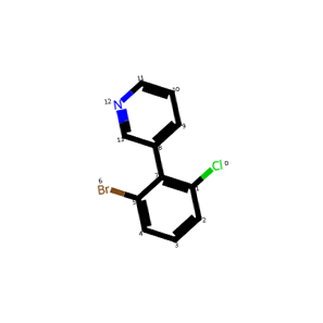 Clc1cccc(Br)c1-c1cccnc1